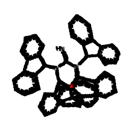 N=C(N(C1c2ccccc2-c2ccccc21)C1c2ccccc2-c2ccccc21)N(C1c2ccccc2-c2ccccc21)C1c2ccccc2-c2ccccc21